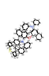 C1=CC2=CC(N(c3ccccc3)c3ccccc3)=C3c4cc5ccccc5c(N(c5ccccc5)c5cccc6c5-c5ccccc5C65c6ccccc6Sc6ccccc65)c4OC3C2C=C1